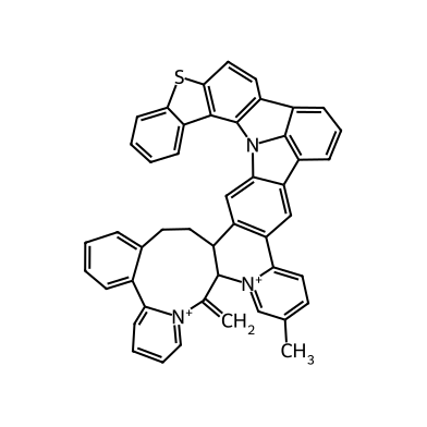 C=C1C2C(CCc3ccccc3-c3cccc[n+]31)c1cc3c(cc1-c1ccc(C)c[n+]12)c1cccc2c4ccc5sc6ccccc6c5c4n3c12